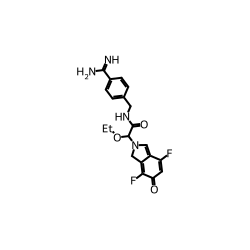 CCOC(C(=O)NCc1ccc(C(=N)N)cc1)N1C=C2C(F)=CC(=O)C(F)=C2C1